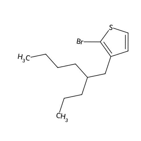 CCCCC(CCC)Cc1ccsc1Br